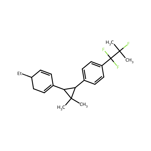 CCC1C=CC(C2C(c3ccc(C(F)(F)C(C)(C)F)cc3)C2(C)C)=CC1